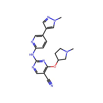 CN1CCC(Oc2nc(Nc3ccc(-c4cnn(C)c4)cn3)ncc2C#N)C1